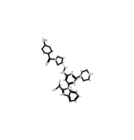 O=C(C1CCC(O)CC1)N1CC[C@H](COc2cc(-n3c(C(F)F)nc4ccccc43)nc(N3CCOCC3)n2)C1